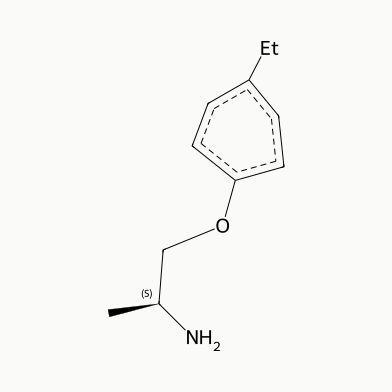 CCc1ccc(OC[C@H](C)N)cc1